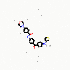 O=CN(c1ccc(C(=O)c2ccc(NC(=O)c3ccc(N4CCOCC4)cc3)cc2)cc1)c1ccsc1